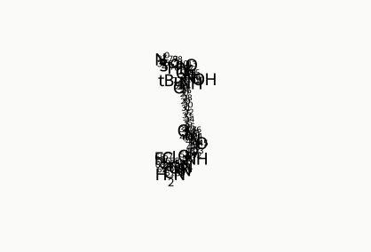 Cc1ncsc1-c1ccc(CNC(=O)[C@@H]2C[C@@H](O)CN2C(=O)C(NC(=O)CCCCCCCCCCCC(=O)N2[C@H](C)CN(C(=O)c3ccc(NC(=O)c4cc(OC(C)c5c(Cl)ccc(F)c5Cl)c(N)nn4)cc3)C[C@@H]2C)C(C)(C)C)cc1